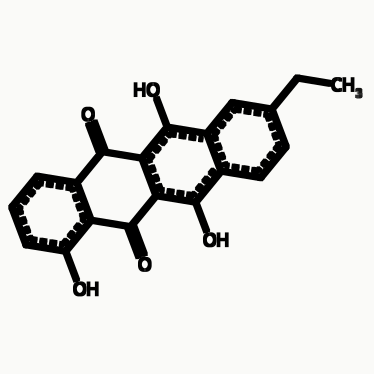 CCc1ccc2c(O)c3c(c(O)c2c1)C(=O)c1cccc(O)c1C3=O